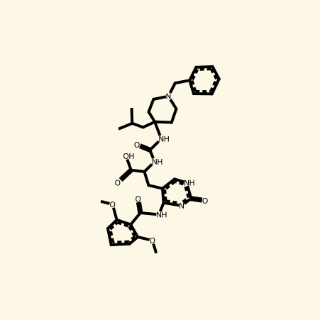 COc1cccc(OC)c1C(=O)Nc1nc(=O)[nH]cc1CC(NC(=O)NC1(CC(C)C)CCN(Cc2ccccc2)CC1)C(=O)O